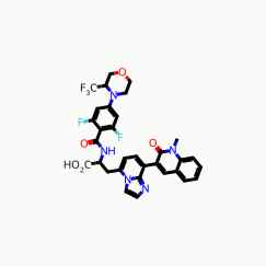 Cn1c(=O)c(-c2ccc(CC(NC(=O)c3c(F)cc(N4CCOCC4C(F)(F)F)cc3F)C(=O)O)n3ccnc23)cc2ccccc21